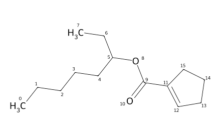 CCCCCC(CC)OC(=O)C1=CCCC1